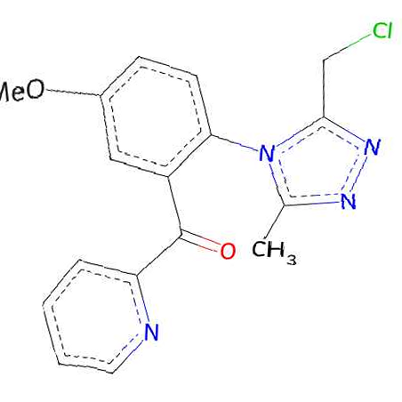 COc1ccc(-n2c(C)nnc2CCl)c(C(=O)c2ccccn2)c1